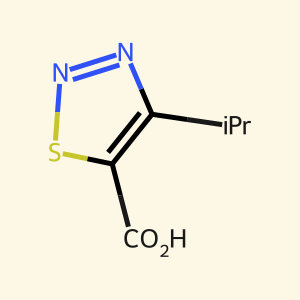 CC(C)c1nnsc1C(=O)O